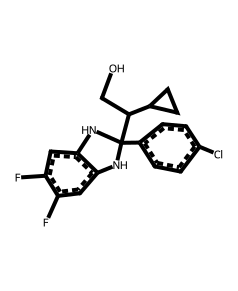 OCC(C1CC1)C1(c2ccc(Cl)cc2)Nc2cc(F)c(F)cc2N1